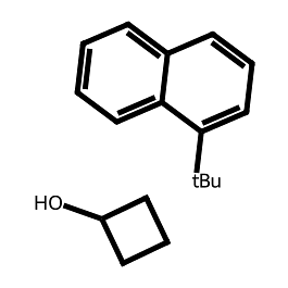 CC(C)(C)c1cccc2ccccc12.OC1CCC1